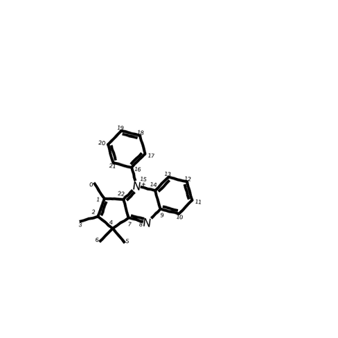 CC1=C(C)C(C)(C)c2nc3ccccc3[n+](-c3ccccc3)c21